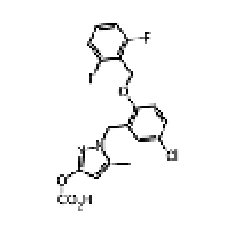 Cc1cc(OC(=O)O)nn1Cc1cc(Cl)ccc1OCc1c(F)cccc1F